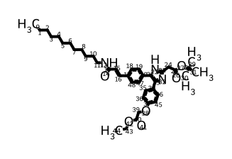 CCCCCCCCCCCCNC(=O)C=Cc1ccc(-c2[nH]c(CC(=O)OC(C)(C)C)nc2-c2ccc(OCC(=O)OCC)cc2)cc1